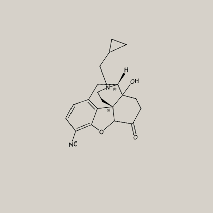 [C-]#[N+]c1ccc2c3c1OC1C(=O)CCC4(O)[C@@H](C2)N(CC2CC2)CC[C@]314